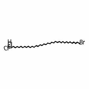 Cl[SiH](Cl)CCCCCCCCCCCCCCCCCCCCCCCCCCCCCCCCCCCCCBr